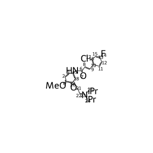 COc1ccc(NC(=O)C=Cc2ccc(F)cc2Cl)cc1OCCN(C(C)C)C(C)C